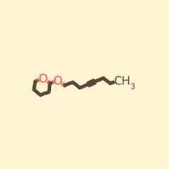 CCCC#CCCCOC1CCCCO1